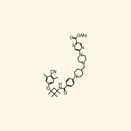 COC(=O)c1cnc(N2CCN(CC3CCN(c4ccc(C(=O)NC5(C)CC(C)(Oc6cc(C)c(C#N)c(C)c6)C5(C)C)cc4)CC3)CC2)cn1